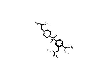 CC(C)Cc1cc(S(=O)(=O)N2CCN(CC(C)C)CC2)ccc1C(C)C